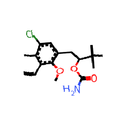 C=Cc1c(C)c(Cl)cc(CC(OC(N)=O)C(C)(C)C)c1OC